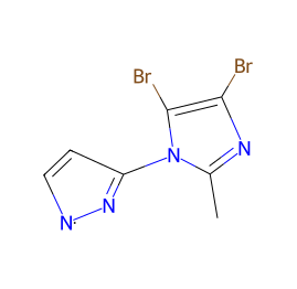 Cc1nc(Br)c(Br)n1C1=N[N]C=C1